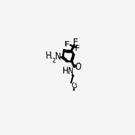 COCCNC(=O)c1cc(N)cc(C(F)(F)F)c1